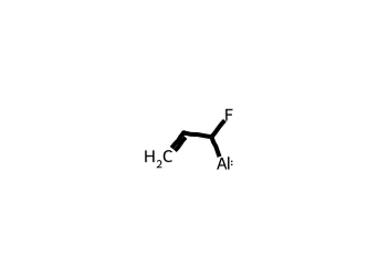 C=C[CH](F)[Al]